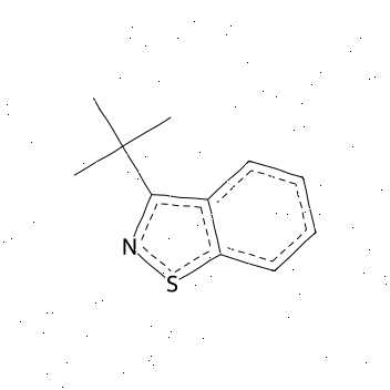 CC(C)(C)c1nsc2ccccc12